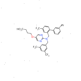 CC(C)c1cccc(-c2ccc(C(F)(F)F)cc2CN(Cc2cc(C(F)(F)F)cc(C(F)(F)F)c2)c2ncc(OCCCC(=O)O)cn2)c1